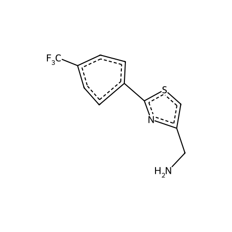 NCc1csc(-c2ccc(C(F)(F)F)cc2)n1